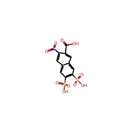 O=C(O)c1cc2cc(S(=O)(=O)O)c(S(=O)(=O)O)cc2cc1I(=O)=O